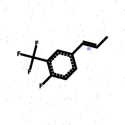 C/C=C/c1ccc(F)c(C(F)(F)F)c1